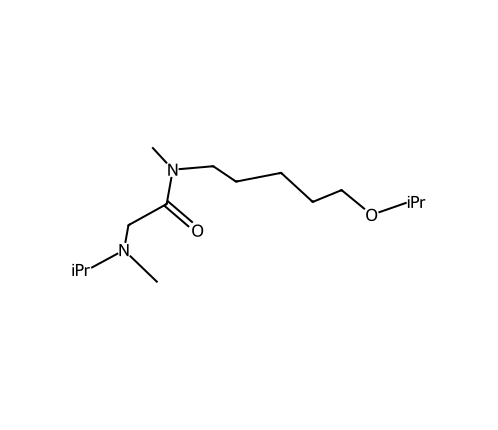 CC(C)OCCCCCN(C)C(=O)CN(C)C(C)C